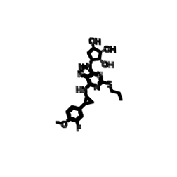 CCCSc1nc(NC2CC2c2ccc(OC)c(F)c2)c2nnn([C@H]3C[C@@H](O)[C@H](O)[C@@H]3O)c2n1